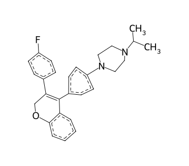 CC(C)N1CCN(c2ccc(C3=C(c4ccc(F)cc4)COc4ccccc43)cc2)CC1